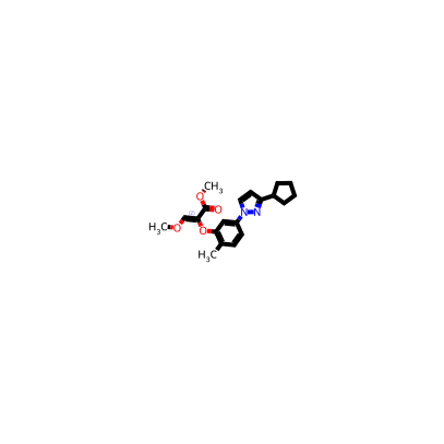 CO/C=C(\Oc1cc(-n2ccc(C3CCCC3)n2)ccc1C)C(=O)OC